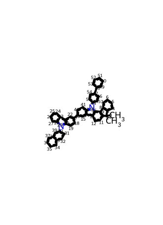 CC1(C)c2ccccc2-c2c1ccc1c3cc(-c4ccc5c(c4)c4ccccc4n5-c4ccc5ccccc5c4)ccc3n(-c3ccc(-c4ccccc4)cc3)c21